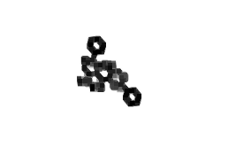 O[C@@H](C1O[C@H](c2ccccc2)OC[C@H]1O)C1O[C@H](c2ccccc2)OC[C@@H]1O